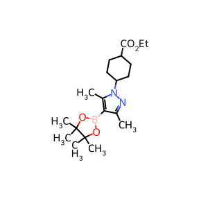 CCOC(=O)C1CCC(n2nc(C)c(B3OC(C)(C)C(C)(C)O3)c2C)CC1